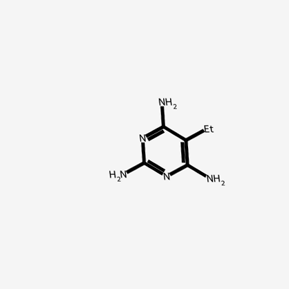 CCc1c(N)nc(N)nc1N